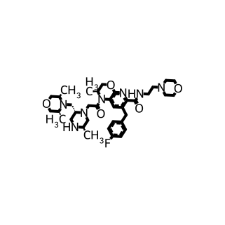 C[C@@H]1CN(CC(=O)N2c3cc(Cc4ccc(F)cc4)c(C(=O)NCCN4CCOCC4)nc3OC[C@@H]2C)[C@@H](CN2[C@H](C)COC[C@H]2C)CN1